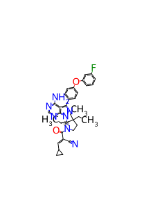 CCC1(CC)CCN(C(=O)C(C#N)=CC2CC2)[C@]1(CC)n1nc(-c2ccc(Oc3cccc(F)c3)cc2)c2c(N)ncnc21